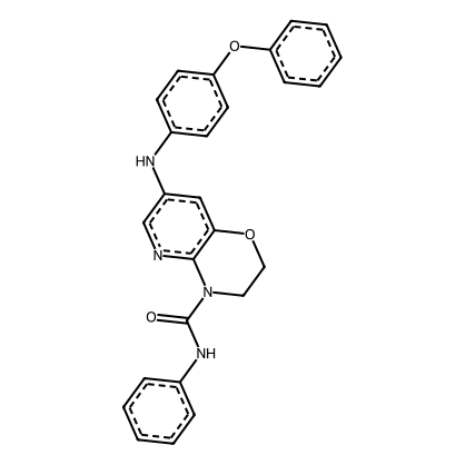 O=C(Nc1ccccc1)N1CCOc2cc(Nc3ccc(Oc4ccccc4)cc3)cnc21